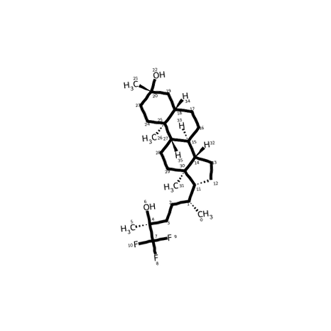 C[C@H](CC[C@](C)(O)C(F)(F)F)[C@H]1CC[C@H]2[C@@H]3CC[C@H]4C[C@@](C)(O)CC[C@]4(C)[C@H]3CC[C@]12C